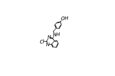 Oc1ccc(CNc2nc(Cl)nc3ccccc23)cc1